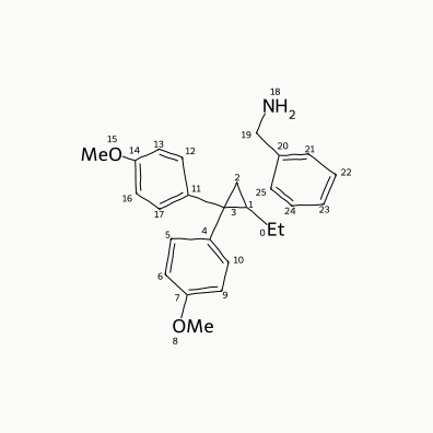 CCC1CC1(c1ccc(OC)cc1)c1ccc(OC)cc1.NCc1ccccc1